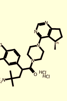 C[C@@H]1CCc2ncnc(N3CCN(C(=O)C(CC(C)(C)N)c4ccc(Cl)c(F)c4)CC3)c21.Cl.Cl